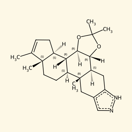 CC1=CC[C@H]2[C@@H]3[C@H]4OC(C)(C)O[C@@H]4[C@H]4Cc5[nH]ncc5C[C@]4(C)[C@H]3CC[C@]12C